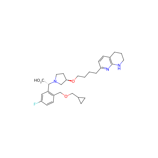 O=C(O)[C@@H](c1cc(F)ccc1COCC1CC1)N1CC[C@@H](OCCCCc2ccc3c(n2)NCCC3)C1